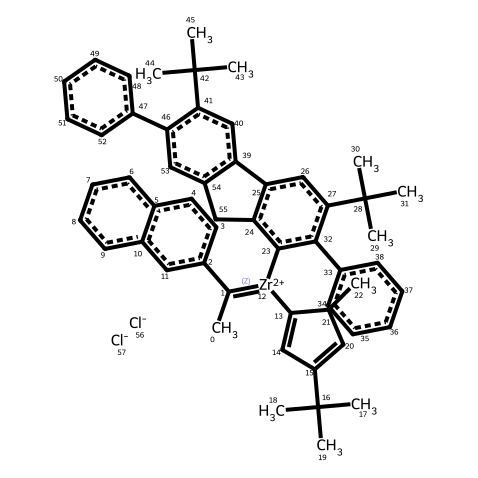 C/[C](c1ccc2ccccc2c1)=[Zr+2](\[C]1=CC(C(C)(C)C)=CC1C)[c]1c2c(cc(C(C)(C)C)c1-c1ccccc1)-c1cc(C(C)(C)C)c(-c3ccccc3)cc1C2.[Cl-].[Cl-]